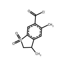 Cc1cc2c(cc1C(=O)Cl)S(=O)(=O)CC2C